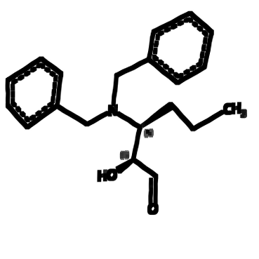 CCC[C@@H]([C@H](O)C=O)N(Cc1ccccc1)Cc1ccccc1